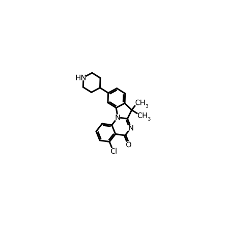 CC1(C)c2ccc(C3CCNCC3)cc2-n2c1nc(=O)c1c(Cl)cccc12